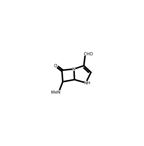 CNC1C(=O)N2C(C=O)=CNC12